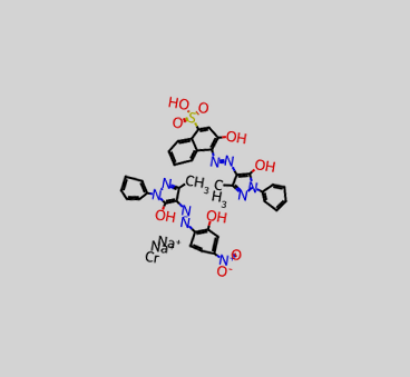 Cc1nn(-c2ccccc2)c(O)c1N=Nc1c(O)cc(S(=O)(=O)O)c2ccccc12.Cc1nn(-c2ccccc2)c(O)c1N=Nc1ccc([N+](=O)[O-])cc1O.[Cr].[Na+].[Na+]